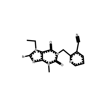 CCn1c(Br)nc2c1c(=O)n(Cc1ncccc1C#N)c(=O)n2C